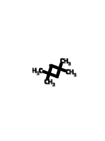 CC1(C)[C]C(C)(C)C1